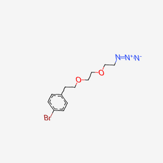 [N-]=[N+]=NCCOCCOCCc1ccc(Br)cc1